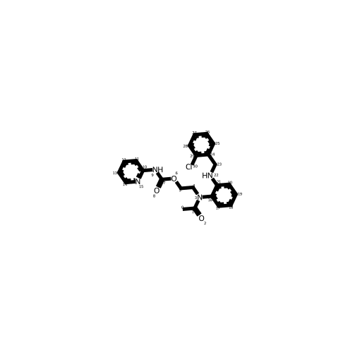 CC(=O)N(CCOC(=O)Nc1ccccn1)c1ccccc1NCc1ccccc1Cl